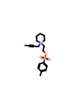 Cc1ccc(S(=O)(=O)OCC[N+]2(CC#CI)CCCCC2)cc1